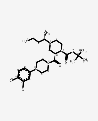 CCC[C@@H](C)N1CCN(C(=O)OC(C)(C)C)[C@@H](C(=O)N2CCN(c3ccc(Cl)c(Cl)c3)CC2)C1